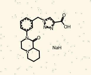 O=C(O)c1cn(Cc2cccc(N3CCN4CCCCC4C3=O)c2)nn1.[NaH]